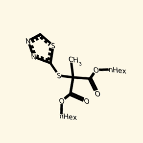 CCCCCCOC(=O)C(C)(Sc1nncs1)C(=O)OCCCCCC